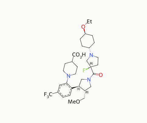 CCO[C@H]1CC[C@H](N2CC[C@](F)(C(=O)N3C[C@H](COC)[C@@H](c4ccc(C(F)(F)F)cc4N4CCC(C(=O)O)CC4)C3)C2)CC1